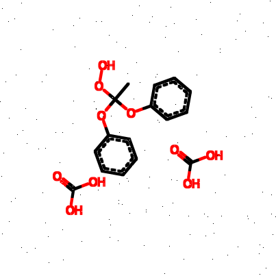 CC(OO)(Oc1ccccc1)Oc1ccccc1.O=C(O)O.O=C(O)O